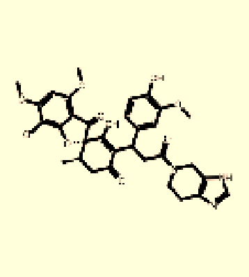 COc1cc(C(CC(=O)N2CCc3nc[nH]c3C2)C2=C(O)[C@@]3(Oc4c(Cl)c(OC)cc(OC)c4C3=O)[C@H](C)CC2=O)ccc1O